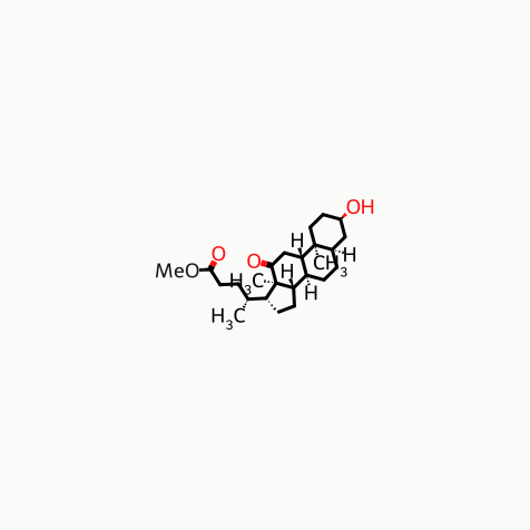 COC(=O)CC[C@@H](C)[C@H]1CC[C@H]2[C@@H]3CC[C@@H]4C[C@H](O)CC[C@]4(C)[C@H]3CC(=O)[C@]12C